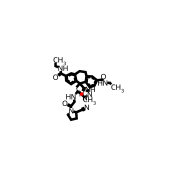 CCNC(=O)c1ccc2c(c1)CCc1cc(C(=O)NCC)ccc1C2(C[C@H](CC)NCC(=O)N1CCCC1C#N)c1nnn[nH]1